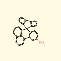 Bc1ccc2c(c1)-c1cccc3cccc(c13)C21c2ccccc2-c2ccccc21